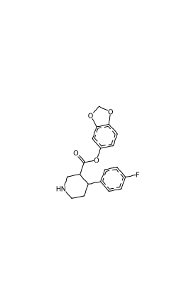 O=C(Oc1ccc2c(c1)OCO2)C1CNCCC1c1ccc(F)cc1